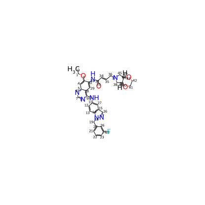 CCOc1cc2ncnc(Nc3ccc4c(cnn4Cc4cccc(F)c4)c3)c2cc1NC(=O)C=CCN1C[C@@H]2OCCO[C@@H]2C1